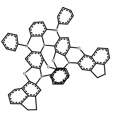 c1ccc(N2c3cccc4c3B(c3c2cc2c5c3Oc3ccccc3B5c3cc5c6c(cccc6c3O2)CC5)c2c(cc3c5c2Oc2ccccc2B5c2cc5c6c(cccc6c2O3)CC5)N4c2ccccc2)cc1